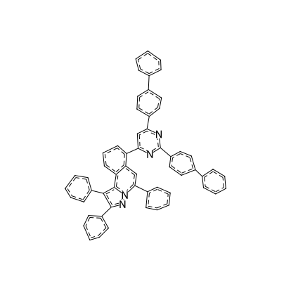 c1ccc(-c2ccc(-c3cc(-c4cccc5c4cc(-c4ccccc4)n4nc(-c6ccccc6)c(-c6ccccc6)c54)nc(-c4ccc(-c5ccccc5)cc4)n3)cc2)cc1